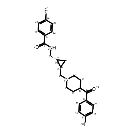 O=C(NC[C@@H]1C[C@H]1CN1CCC(C(=O)c2ccc(F)cc2)CC1)c1ccc(Cl)cc1